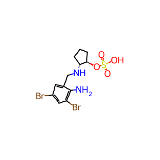 Nc1c(Br)cc(Br)cc1CN[C@@H]1CCC[C@H]1OS(=O)(=O)O